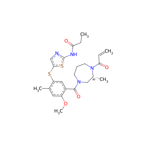 C=CC(=O)N1CCCN(C(=O)c2cc(Sc3cnc(NC(=O)CC)s3)c(C)cc2OC)C[C@H]1C